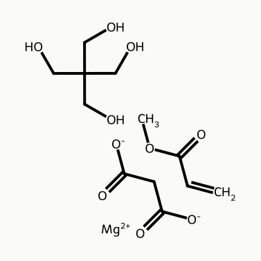 C=CC(=O)OC.O=C([O-])CC(=O)[O-].OCC(CO)(CO)CO.[Mg+2]